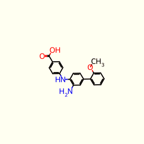 COc1ccccc1-c1ccc(Nc2ccc(C(=O)O)cc2)c(N)c1